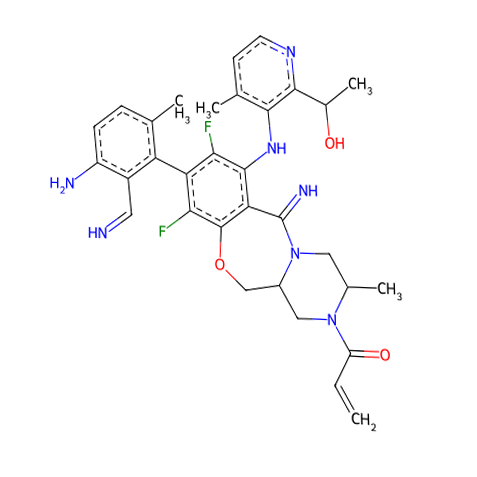 C=CC(=O)N1CC2COc3c(F)c(-c4c(C)ccc(N)c4C=N)c(F)c(Nc4c(C)ccnc4C(C)O)c3C(=N)N2CC1C